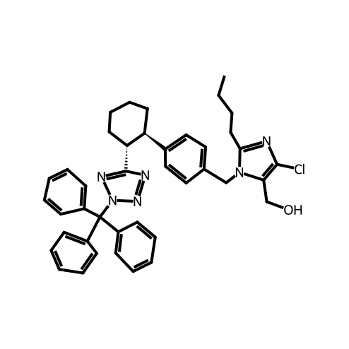 CCCCc1nc(Cl)c(CO)n1Cc1ccc([C@@H]2CCCC[C@H]2c2nnn(C(c3ccccc3)(c3ccccc3)c3ccccc3)n2)cc1